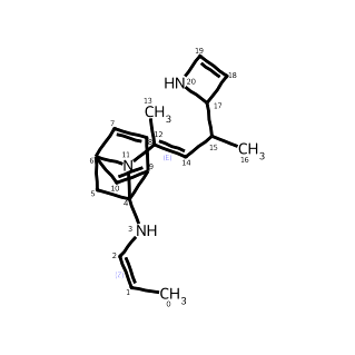 C/C=C\NC12CC3(C=CC1=C3)N2/C(C)=C/C(C)C1C=CN1